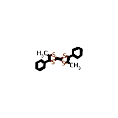 CC1=C(c2ccccc2)S/C(=C2\SC(C)=C(c3ccccc3)S2)S1